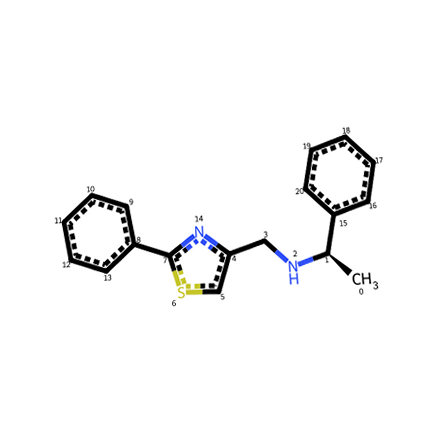 C[C@@H](NCc1csc(-c2ccccc2)n1)c1ccccc1